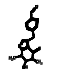 CN1C(=S)c2c(ncn2Cc2ccc(C=O)cc2)N(C)C1O